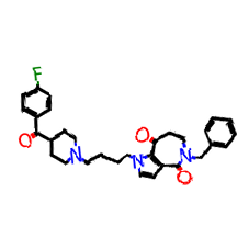 O=C1CCN(Cc2ccccc2)C(=O)c2ccn(CCCCN3CCC(C(=O)c4ccc(F)cc4)CC3)c21